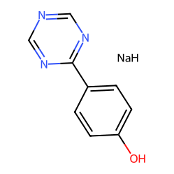 Oc1ccc(-c2ncncn2)cc1.[NaH]